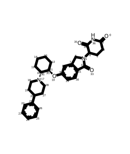 O=C1CCC(N2Cc3cc(O[C@@H]4CCCC[C@H]4N4CCC(c5ccccc5)CC4)ccc3C2=O)C(=O)N1